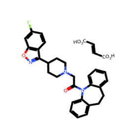 O=C(CN1CCC(c2noc3cc(F)ccc23)CC1)N1c2ccccc2CCc2ccccc21.O=C(O)/C=C/C(=O)O